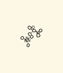 c1ccc(-c2nc(-c3ccccc3)nc(-c3cccc4c(-c5cc(-n6c7ccccc7c7ccccc76)cc6oc7ccccc7c56)cccc34)n2)cc1